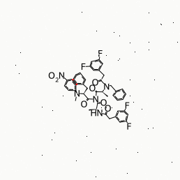 C[C@H](NC(=O)Cc1cc(F)cc(F)c1)C(=O)N(C(=O)[C@H](C)N(Cc1ccccc1)C(=O)Cc1cc(F)cc(F)c1)C(=O)[C@H](Cc1ccccc1)N(C)c1ccc([N+](=O)[O-])cc1